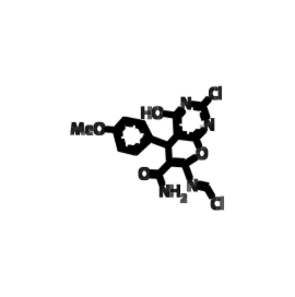 COc1ccc(C2C(C(N)=O)=C(/N=C/Cl)Oc3nc(Cl)nc(O)c32)cc1